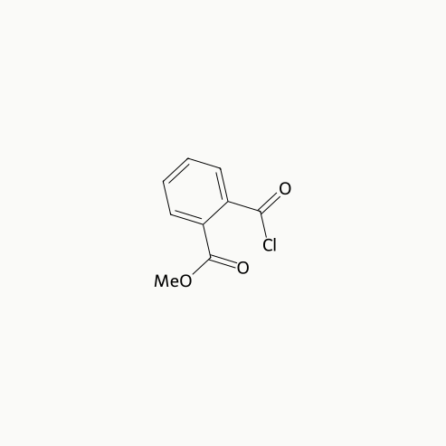 COC(=O)c1ccccc1C(=O)Cl